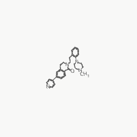 CN1CCN(c2ccccc2CCN2CCc3cc(-c4ccncc4)ccc3C2=O)CC1